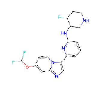 FC(F)Oc1ccn2c(-c3cccc(NC4CNCCC4F)n3)cnc2c1